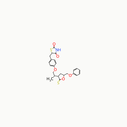 CC(COc1ccc(CC2SC(=O)NC2=O)cc1)C1CC(COc2ccccc2)OC1=S